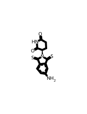 Nc1ccc2c(c1)C(=S)N([C@@H]1CCC(=O)NC1=O)C2=S